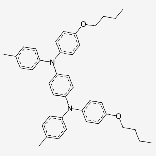 CCCCOc1ccc(N(c2ccc(C)cc2)c2ccc(N(c3ccc(C)cc3)c3ccc(OCCCC)cc3)cc2)cc1